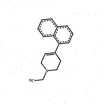 N#CCN1CC=C(c2cccc3ccccc23)CC1